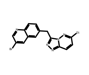 CCc1ccc2nnc(Cc3ccc4ncc(Br)cc4c3)n2n1